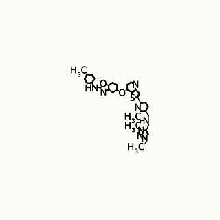 CCn1cc(CN(Cc2ccc(-c3cc4nccc(Oc5ccc6oc(Nc7ccc(C)cc7)nc6c5)c4s3)nc2)C(C)C)nn1